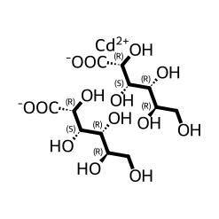 O=C([O-])[C@H](O)[C@@H](O)[C@H](O)[C@H](O)CO.O=C([O-])[C@H](O)[C@@H](O)[C@H](O)[C@H](O)CO.[Cd+2]